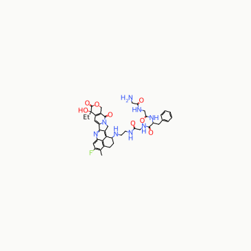 CC[C@@]1(O)C(=O)OCc2c1cc1n(c2=O)Cc2c-1nc1cc(F)c(C)c3c1c2[C@@H](NCCNC(=O)CNC(=O)C(Cc1ccccc1)NC(=O)CNC(=O)CN)CC3